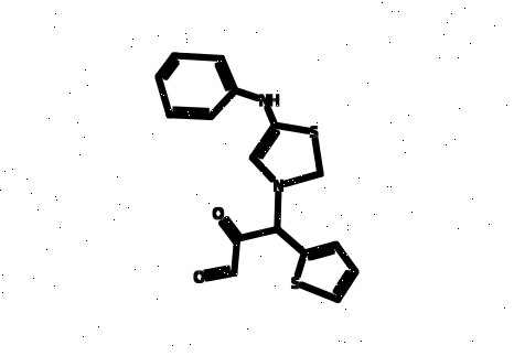 O=CC(=O)C(c1cccs1)N1C=C(Nc2ccccc2)SC1